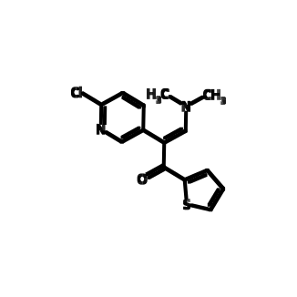 CN(C)/C=C(/C(=O)c1cccs1)c1ccc(Cl)nc1